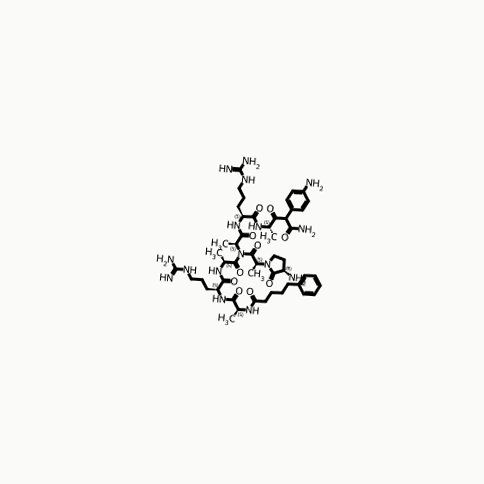 C[C@H](NC(=O)CCCCc1ccccc1)C(=O)N[C@@H](CCCNC(=N)N)C(=O)N[C@@H](C)C(=O)N(C(=O)[C@H](C)N1CC[C@@H](N)C1=O)[C@@H](C)C(=O)N[C@@H](CCCNC(=N)N)C(=O)N[C@@H](C)C(=O)C(C(N)=O)c1ccc(N)cc1